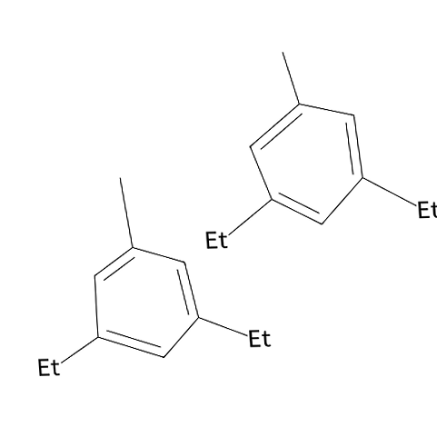 CCc1cc(C)cc(CC)c1.CCc1cc(C)cc(CC)c1